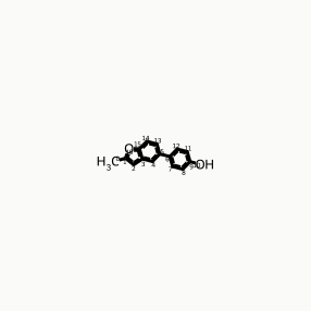 Cc1cc2cc(-c3ccc(O)cc3)ccc2o1